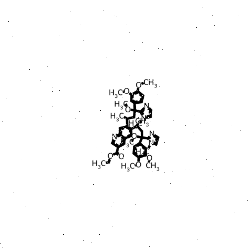 CCOC(=O)c1cnc2cc(C(C)CC(OC)(c3ccc(OC)c(OC)c3)c3nccn3C)c(C(C)CC(OC)(c3ccc(OC)c(OC)c3)c3nccn3C)cc2c1